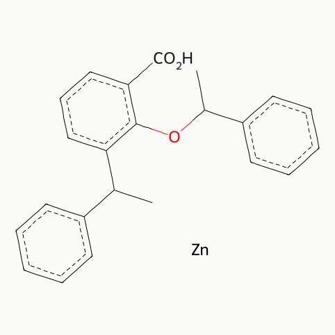 CC(Oc1c(C(=O)O)cccc1C(C)c1ccccc1)c1ccccc1.[Zn]